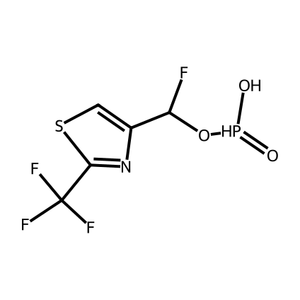 O=[PH](O)OC(F)c1csc(C(F)(F)F)n1